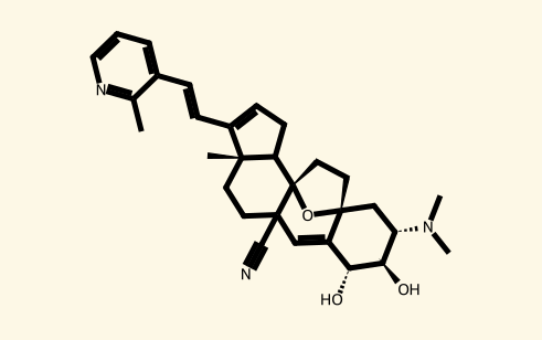 Cc1ncccc1/C=C/C1=CCC2[C@@]34CC[C@]5(C[C@H](N(C)C)[C@@H](O)[C@H](O)C5=CC3(C#N)CC[C@]12C)O4